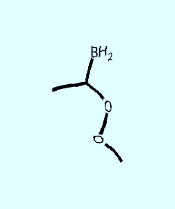 BC(C)OOC